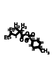 CCC(CC)C[C@](C)(N)C(=O)OS(=O)(=O)c1ccc(C)cc1